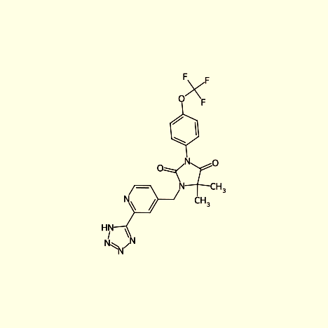 CC1(C)C(=O)N(c2ccc(OC(F)(F)F)cc2)C(=O)N1Cc1ccnc(-c2nnn[nH]2)c1